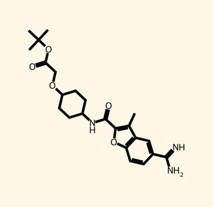 Cc1c(C(=O)NC2CCC(OCC(=O)OC(C)(C)C)CC2)oc2ccc(C(=N)N)cc12